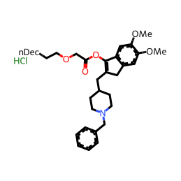 CCCCCCCCCCCCOCC(=O)OC1=C(CC2CCN(Cc3ccccc3)CC2)Cc2cc(OC)c(OC)cc21.Cl